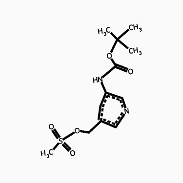 CC(C)(C)OC(=O)Nc1cncc(COS(C)(=O)=O)c1